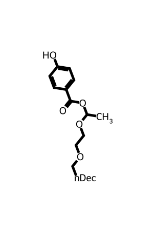 CCCCCCCCCCCOCCOC(C)OC(=O)c1ccc(O)cc1